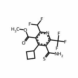 COC(=O)c1c(C(F)F)nc(C(F)(F)F)c(C(N)=S)c1C1CCC1